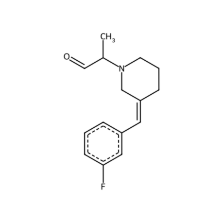 CC(C=O)N1CCCC(=Cc2cccc(F)c2)C1